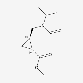 C=CN(C[C@@H]1C[C@H]1C(=O)OC)C(C)C